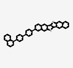 c1ccc2cc3c(cc2c1)sc1c2cc4ccc(-c5ccc(-c6ccc(-c7cccc8ccccc78)cc6)cc5)cc4cc2sc31